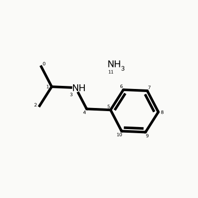 CC(C)NCc1ccccc1.N